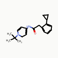 CC(C)(C)N1C=CC(NC(=O)Cc2ccccc2C2CC2)=CC1